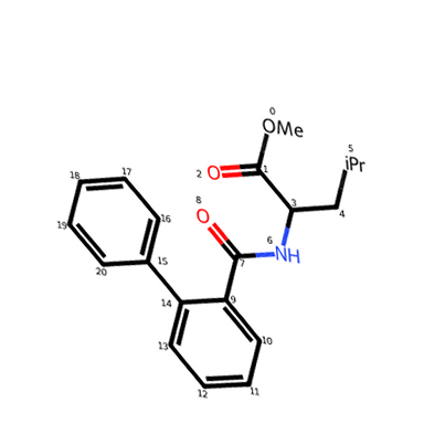 COC(=O)C(CC(C)C)NC(=O)c1ccccc1-c1ccccc1